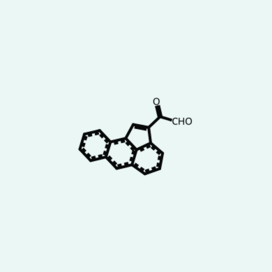 O=CC(=O)C1=Cc2c3ccccc3cc3cccc1c23